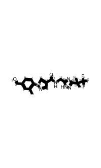 Cc1cc(C=O)ccc1-n1cc(C(=O)NCc2nc(C(C)(C)C(F)(F)F)n[nH]2)cn1